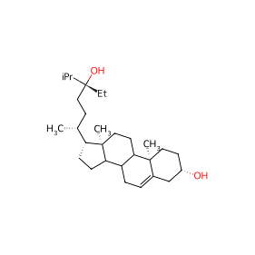 CC[C@@](O)(CC[C@@H](C)[C@H]1CCC2C3CC=C4C[C@@H](O)CC[C@]4(C)C3CC[C@@]21C)C(C)C